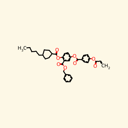 C=CC(=O)Oc1ccc(C(=O)Oc2ccc(OC(=O)C3CCC(CCCCC)CC3)c(C(=O)OCc3ccccc3)c2)cc1